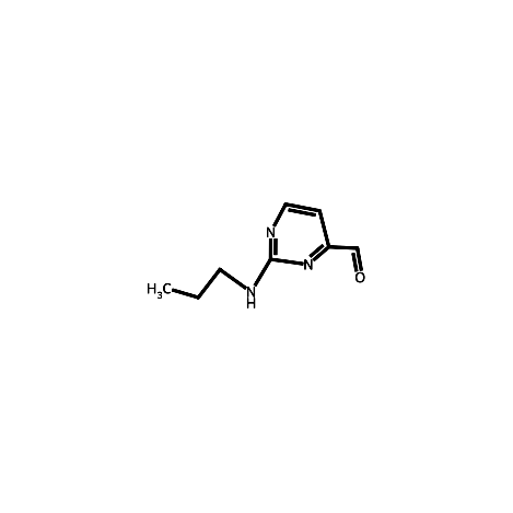 CCCNc1nccc(C=O)n1